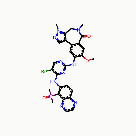 COc1cc2c(cc1Nc1ncc(Br)c(Nc3ccc4nccnc4c3P(C)(C)=O)n1)-c1cnn(C)c1CN(C)C2=O